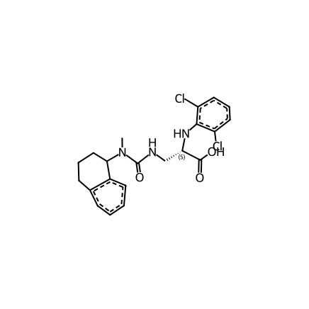 CN(C(=O)NC[C@H](Nc1c(Cl)cccc1Cl)C(=O)O)C1CCCc2ccccc21